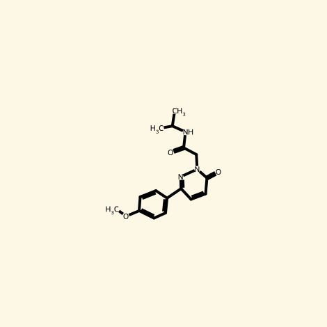 COc1ccc(-c2ccc(=O)n(CC(=O)NC(C)C)n2)cc1